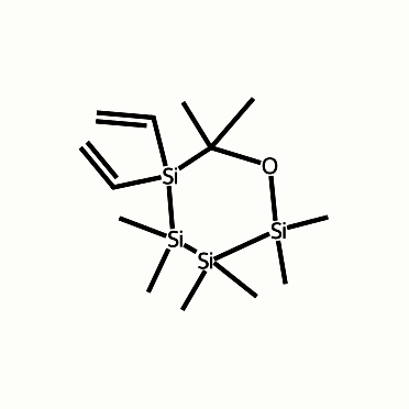 C=C[Si]1(C=C)C(C)(C)O[Si](C)(C)[Si](C)(C)[Si]1(C)C